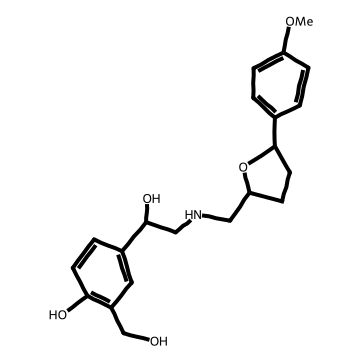 COc1ccc(C2CCC(CNCC(O)c3ccc(O)c(CO)c3)O2)cc1